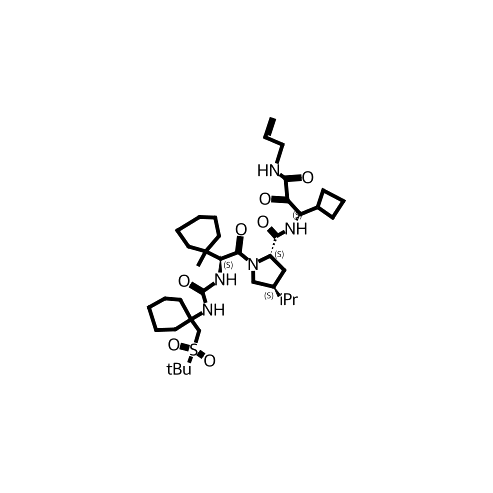 C=CCNC(=O)C(=O)[C@@H](NC(=O)[C@@H]1C[C@@H](C(C)C)CN1C(=O)[C@@H](NC(=O)NC1(CS(=O)(=O)C(C)(C)C)CCCCC1)C1(C)CCCCC1)C1CCC1